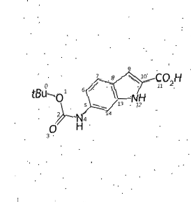 CC(C)(C)OC(=O)Nc1ccc2cc(C(=O)O)[nH]c2c1